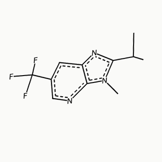 CC(C)c1nc2cc(C(F)(F)F)cnc2n1C